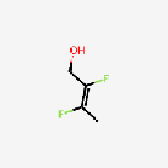 CC(F)=C(F)CO